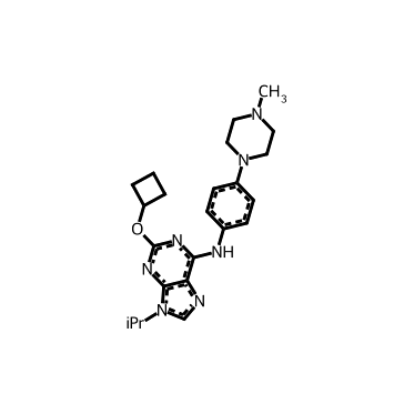 CC(C)n1cnc2c(Nc3ccc(N4CCN(C)CC4)cc3)nc(OC3CCC3)nc21